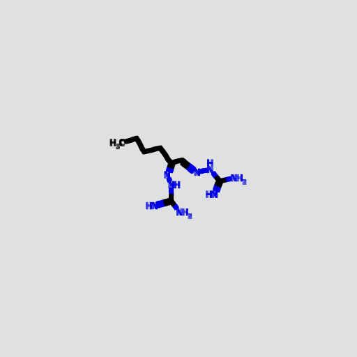 CCCCC(C=NNC(=N)N)=NNC(=N)N